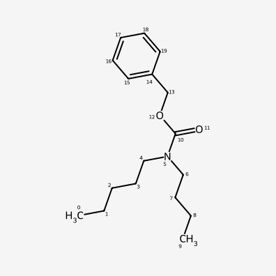 CCCCCN(CCCC)C(=O)OCc1ccccc1